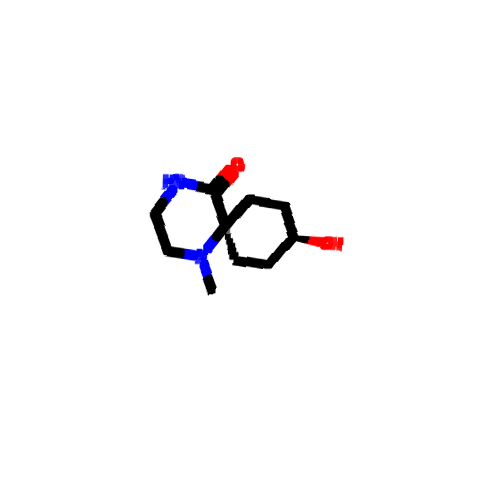 CN1CCNC(=O)[C@]12CC[C@H](O)CC2